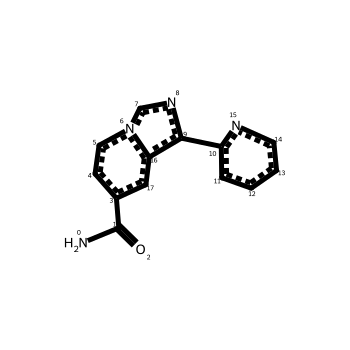 NC(=O)c1ccn2cnc(-c3ccccn3)c2c1